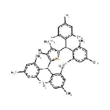 Cc1cc(C)c(C(c2sc(C(c3c(C)cc(C)cc3C)c3c(C)cc(C)cc3C)c(C)c2C)c2c(C)cc(C)cc2C)c(C)c1